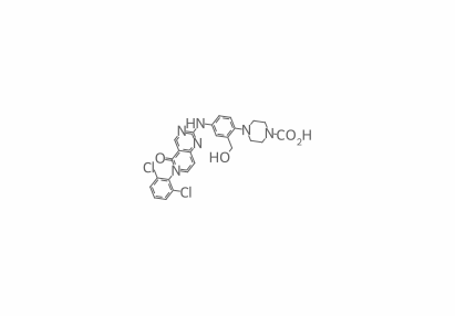 O=C(O)N1CCN(c2ccc(Nc3ncc4c(=O)n(-c5c(Cl)cccc5Cl)ccc4n3)cc2CO)CC1